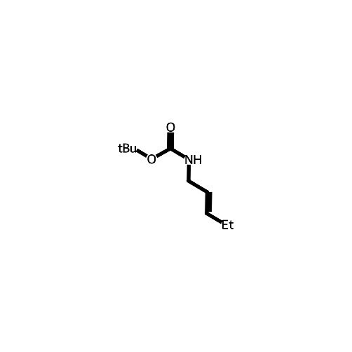 CCC=CCNC(=O)OC(C)(C)C